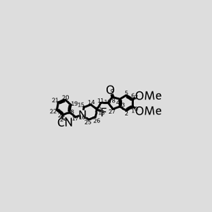 COc1cc2c(cc1OC)C(=O)C(CC1(F)CCN(Cc3ccccc3C#N)CC1)C2